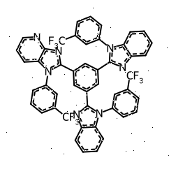 FC(F)(F)c1cccc(-n2c(-c3cc(-c4nc5ccccc5n4-c4cccc(C(F)(F)F)c4)cc(-c4nc5ncccc5n4-c4cccc(C(F)(F)F)c4)c3)nc3ccccc32)c1